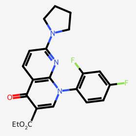 CCOC(=O)c1cn(-c2ccc(F)cc2F)c2nc(N3CCCC3)ccc2c1=O